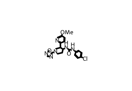 COc1ccc(C2CN(c3ncno3)CCC2NC(=O)Nc2ccc(Cl)cc2)nc1